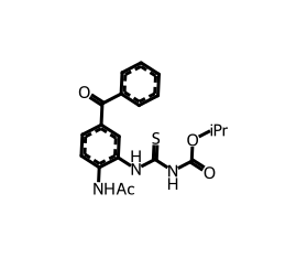 CC(=O)Nc1ccc(C(=O)c2ccccc2)cc1NC(=S)NC(=O)OC(C)C